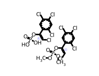 COP(=O)(OC)O/C(=C\Cl)c1cc(Cl)c(Cl)cc1Cl.O=P(O)(O)O/C(=C/Cl)c1cc(Cl)c(Cl)cc1Cl